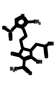 CC(=O)C1=C(O)C(CC(=O)O)N(CCn2c([N+](=O)[O-])cnc2C)C1=O